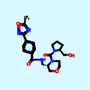 O=C(NC[C@H]1COCCN1C(=O)N1CCC[C@H]1CO)c1ccc(-c2noc(C(F)(F)F)n2)cc1